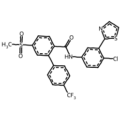 CS(=O)(=O)c1ccc(C(=O)Nc2ccc(Cl)c(-c3nccs3)c2)c(-c2ccc(C(F)(F)F)cc2)c1